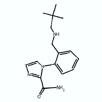 CC(C)(C)CNCc1ccccc1-n1c[c]nc1C(N)=O